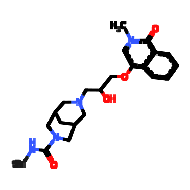 Cn1cc(OCC(O)CN2CC3CC(C2)CN(C(=O)NC(C)(C)C)C3)c2ccccc2c1=O